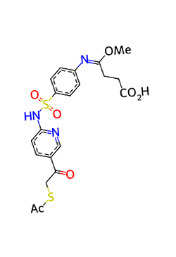 COC(CCC(=O)O)=Nc1ccc(S(=O)(=O)Nc2ccc(C(=O)CSC(C)=O)cn2)cc1